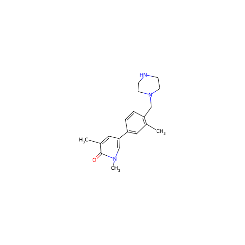 Cc1cc(-c2cc(C)c(=O)n(C)c2)ccc1CN1CCNCC1